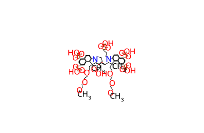 COCCOCCOCCC1(C)C(=CC=CC2N(CCCS(=O)(=O)O)c3ccc4c(S(=O)(=O)O)cc(S(=O)(=O)O)cc4c3C2(C)CCOCCOCCOC)N(CCCCCC(=O)O)c2ccc3c(S(=O)(=O)O)cc(S(=O)(=O)O)cc3c21